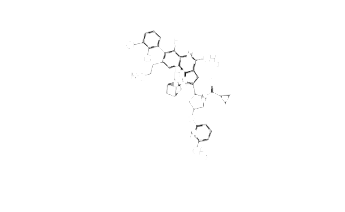 Cc1nc2c(F)c(-c3cccc(Cl)c3Cl)c(CCC#N)cc2c2c1cc(C1CC(Oc3cccc(C(F)(F)F)n3)CN1C(=O)C1CC1)n2C1C2CNC1C2